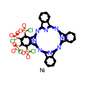 O=S(=O)(Cl)c1c(S(=O)(=O)Cl)c(S(=O)(=O)Cl)c2c3nc4nc(nc5[nH]c(nc6nc(nc([nH]3)c2c1S(=O)(=O)Cl)-c1ccccc1-6)c1ccccc51)-c1ccccc1-4.[Ni]